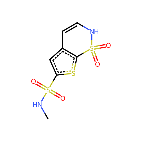 CNS(=O)(=O)c1cc2c(s1)S(=O)(=O)NC=C2